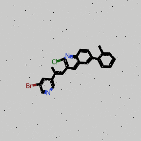 CC(=Cc1cc2cc(-c3ccccc3C)ccc2nc1Cl)c1cncc(Br)c1